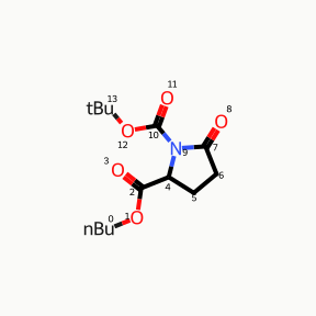 CCCCOC(=O)C1CCC(=O)N1C(=O)OC(C)(C)C